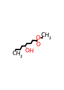 CCCC[C@@H](O)CCCC(=O)OCC